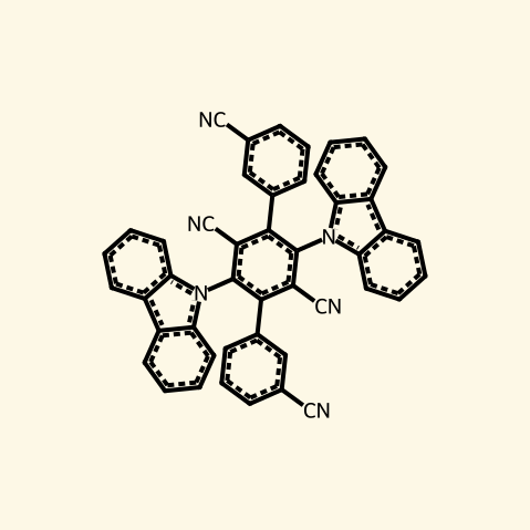 N#Cc1cccc(-c2c(C#N)c(-n3c4ccccc4c4ccccc43)c(-c3cccc(C#N)c3)c(C#N)c2-n2c3ccccc3c3ccccc32)c1